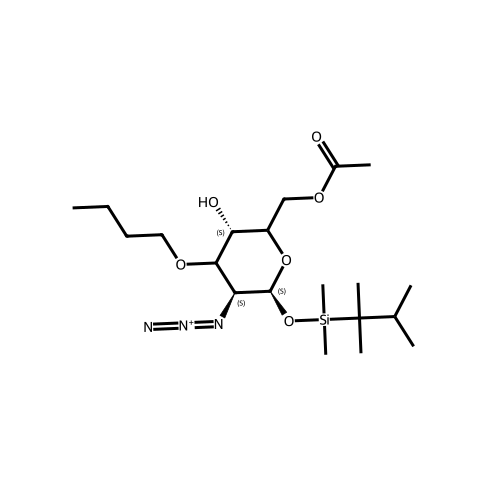 CCCCOC1[C@H](O)C(COC(C)=O)O[C@@H](O[Si](C)(C)C(C)(C)C(C)C)[C@H]1N=[N+]=[N-]